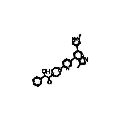 Cc1cnn2cc(-c3cnn(C)c3)cc(-c3ccc(N4CCN(C(=O)C(O)c5ccccc5)CC4)nc3)c12